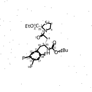 CCOC(=O)[C@@H]1SCCN1C(=O)C[C@@H](Cc1cc(F)c(F)cc1F)NC(=O)OC(C)(C)C